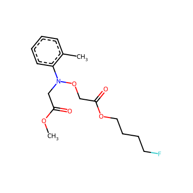 COC(=O)CN(OCC(=O)OCCCCF)c1ccccc1C